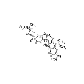 CC(C)Oc1cc2[nH]ncc2cc1Nc1ncnc2sc3c(c12)CC[C@H](C(=O)N1CC(N(C)C)C1)C3